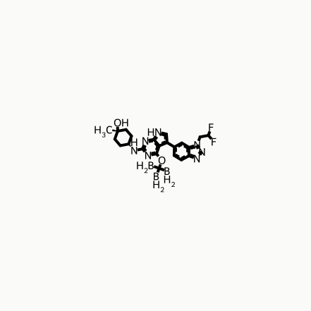 BC(B)(B)Oc1nc(N[C@H]2CC[C@@](C)(O)CC2)nc2[nH]cc(-c3ccc4nnn(CC(F)F)c4c3)c12